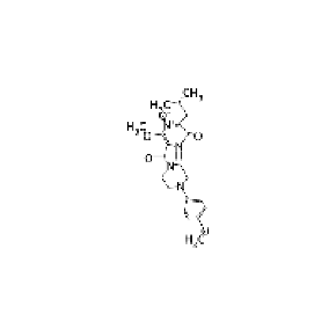 COc1ccc(N2CCN(C(=O)c3[nH]c(=O)c(CC(C)C)[n+]([O-])c3OC)CC2)cc1